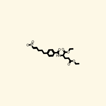 CCOC(=O)CCC(NC(=O)c1ccc(CCC/C=C/[N+](=O)[O-])cc1)C(=O)OCC